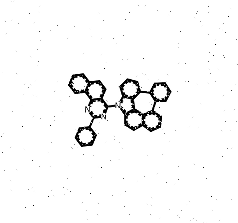 c1ccc(-c2nc(-n3c4cccc5c4c4c6c(cccc6ccc43)-c3ccccc3-5)c3ccc4ccccc4c3n2)cc1